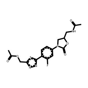 CC(=O)NCC1CN(c2ccc(-c3nnc(COC(C)=O)s3)c(F)c2)C(=O)O1